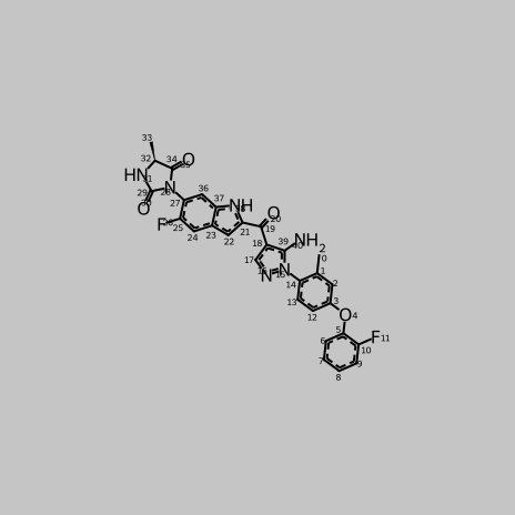 Cc1cc(Oc2ccccc2F)ccc1-n1ncc(C(=O)c2cc3cc(F)c(N4C(=O)N[C@@H](C)C4=O)cc3[nH]2)c1N